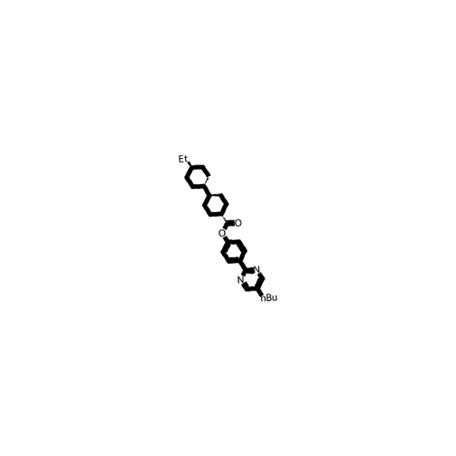 CCCCc1cnc(-c2ccc(OC(=O)[C@H]3CC[C@H]([C@H]4CC[C@H](CC)CC4)CC3)cc2)nc1